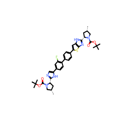 C[C@H]1C[C@@H](c2ncc(-c3ccc(-c4ccc(-c5cc6[nH]c([C@@H]7C[C@H](C)CN7C(=O)OC(C)(C)C)nc6s5)cc4)c(F)c3)[nH]2)N(C(=O)OC(C)(C)C)C1